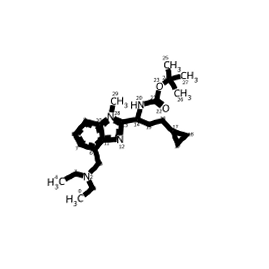 CCN(CC)Cc1cccc2c1nc(C(CCC1CC1)NC(=O)OC(C)(C)C)n2C